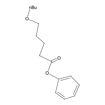 CCCCOCCCCC(=O)Oc1ccccc1